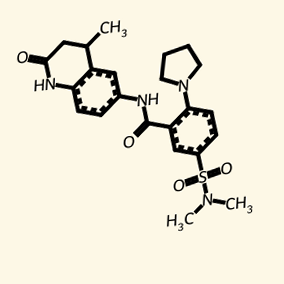 CC1CC(=O)Nc2ccc(NC(=O)c3cc(S(=O)(=O)N(C)C)ccc3N3CCCC3)cc21